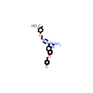 CC1(C(=O)O)CCC(OCCN2CCN(c3nc(N)nc4c3CCc3cc(OCc5ccc(Cl)cc5)ccc3-4)CC2)CC1